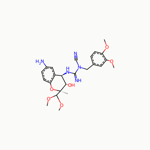 COc1ccc(CN(C#N)C(=N)N[C@@H]2c3cc(N)ccc3O[C@](C)(C(OC)OC)[C@H]2O)cc1OC